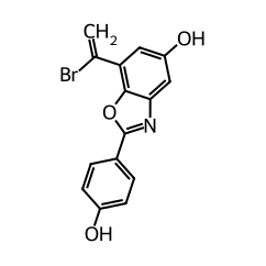 C=C(Br)c1cc(O)cc2nc(-c3ccc(O)cc3)oc12